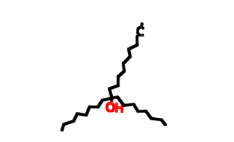 CCCCCCCCCCCC(O)(CCCCCCCC)CCCCCCCC